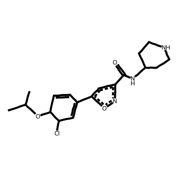 CC(C)OC1C=CC(c2cc(C(=O)NC3CCNCC3)no2)=CC1Cl